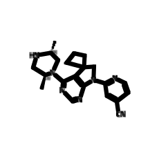 C[C@@H]1CN(c2ncnc3c2C2(CCC2)CN3c2cc(C#N)ccn2)[C@@H](C)CN1